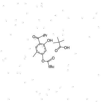 CC(C)(C)C(=O)O.Cc1cc(C(=O)C(C)C)c(O)cc1OC(=O)C(C)(C)C